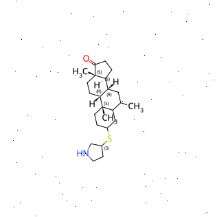 CC1C[C@@H]2[C@@H](CC[C@]3(C)C(=O)CC[C@@H]23)[C@@]2(C)CCC(S[C@H]3CCNC3)CC12